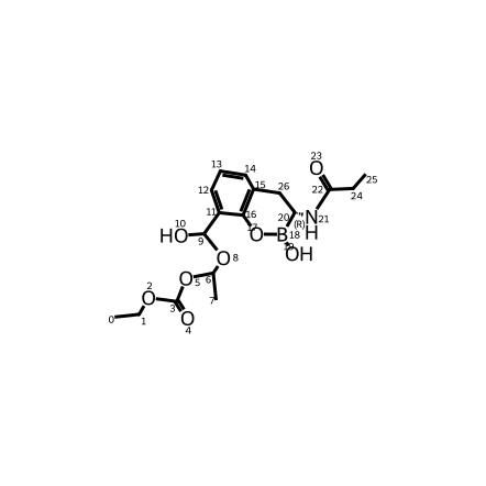 CCOC(=O)OC(C)OC(O)c1cccc2c1OB(O)[C@@H](NC(=O)CC)C2